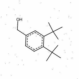 CC(C)(C)c1ccc(CO)cc1C(C)(C)C